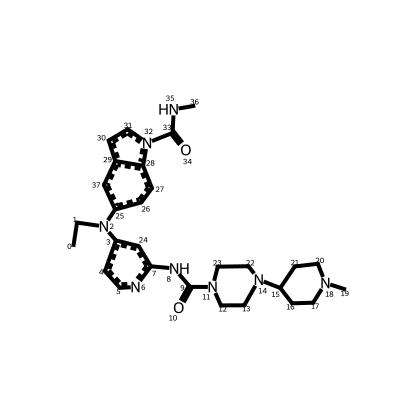 CCN(c1ccnc(NC(=O)N2CCN(C3CCN(C)CC3)CC2)c1)c1ccc2c(ccn2C(=O)NC)c1